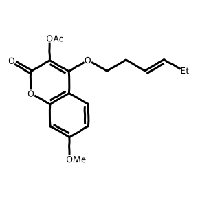 CC/C=C/CCOc1c(OC(C)=O)c(=O)oc2cc(OC)ccc12